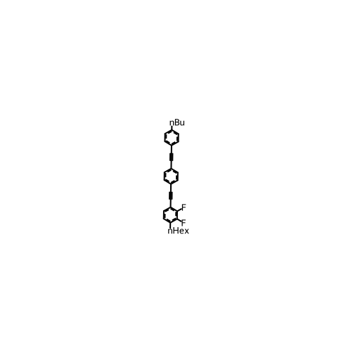 CCCCCCc1ccc(C#Cc2ccc(C#Cc3ccc(CCCC)cc3)cc2)c(F)c1F